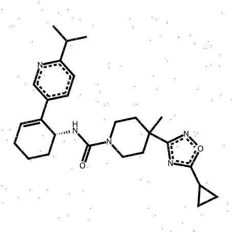 CC(C)c1ccc(C2=CCCC[C@H]2NC(=O)N2CCC(C)(c3noc(C4CC4)n3)CC2)cn1